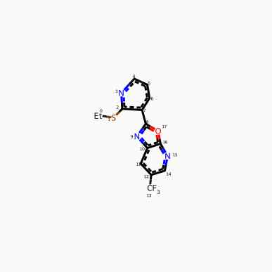 CCSc1ncccc1-c1nc2cc(C(F)(F)F)cnc2o1